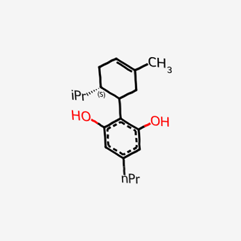 CCCc1cc(O)c(C2CC(C)=CC[C@H]2C(C)C)c(O)c1